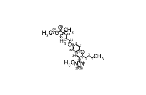 CCCCC1Oc2ccc(OCCCC(C)(C)C(=O)OCC)cc2C=C1c1nccn1C